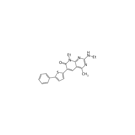 CCNc1nc(C)c2cc(-c3ccc(-c4ccccc4)s3)c(=O)n(CC)c2n1